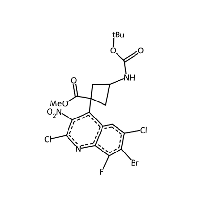 COC(=O)C1(c2c([N+](=O)[O-])c(Cl)nc3c(F)c(Br)c(Cl)cc23)CC(NC(=O)OC(C)(C)C)C1